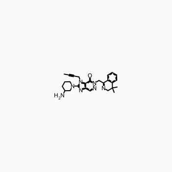 CC#CCn1c(N2CCCC(N)C2)nc2cnn(CC3=NCC(C)(C)c4ccccc43)c(=O)c21